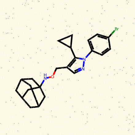 Brc1ccc(-n2ncc(CONC34CC5CC(CC(C5)C3)C4)c2C2CC2)cc1